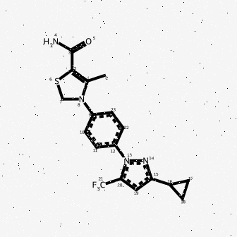 CC1=C(C(N)=O)SCN1c1ccc(-n2nc(C3CC3)cc2C(F)(F)F)cc1